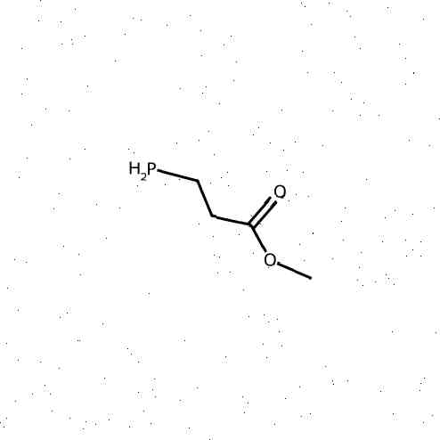 COC(=O)CCP